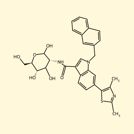 Cc1nc(C)c(-c2ccc3c(C(=O)N[C@H]4C(O)O[C@H](CO)[C@@H](O)C4O)cn(Cc4ccc5ccccc5c4)c3c2)s1